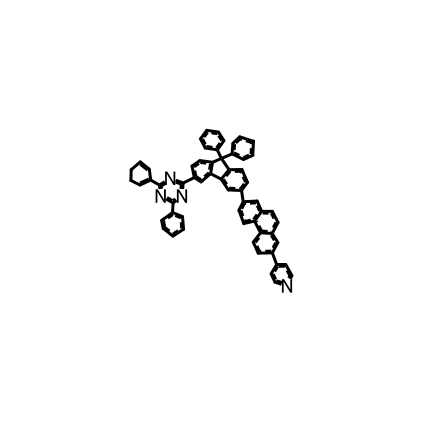 C1=CC(c2nc(-c3ccccc3)nc(-c3ccc4c(c3)-c3cc(-c5ccc6c(ccc7cc(-c8ccncc8)ccc76)c5)ccc3C4(c3ccccc3)c3ccccc3)n2)=CCC1